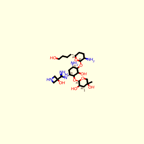 C[C@@H]1C(O)[C@@H](OC2C(O)C(O[C@H]3O[C@H](CCCCO)CCC3N)[C@@H](N)C[C@H]2NC(=N)C2(O)CNC2)OCC1(C)O